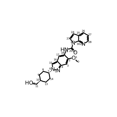 COc1cc2nn([C@H]3CC[C@H](CO)CC3)cc2cc1NC(=O)n1ccc2cccnc21